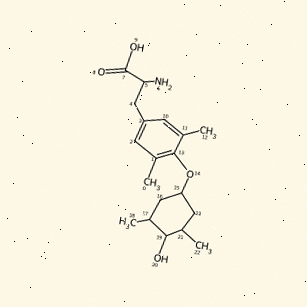 Cc1cc(CC(N)C(=O)O)cc(C)c1OC1CC(C)C(O)C(C)C1